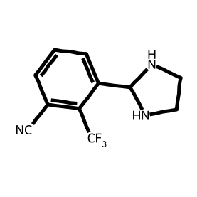 N#Cc1cccc(C2NCCN2)c1C(F)(F)F